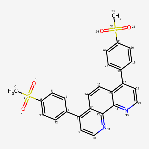 CS(=O)(=O)c1ccc(-c2ccnc3c2ccc2c(-c4ccc(S(C)(=O)=O)cc4)ccnc23)cc1